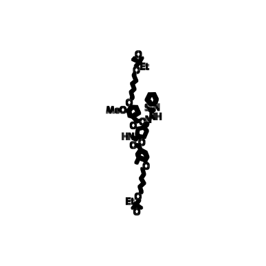 CCC1(COCCCCCCOc2ccc(C(=O)OC3(C=N)CCC(/C=N/Nc4nc5ccccc5s4)(OC(=O)c4ccc(OCCCCCCOCC5(CC)COC5)c(OC)c4)CC3)cc2C)COC1